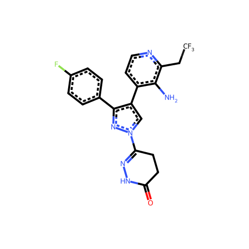 Nc1c(-c2cn(C3=NNC(=O)CC3)nc2-c2ccc(F)cc2)ccnc1CC(F)(F)F